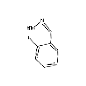 CC(C)(C)/N=C\c1ccccc1I